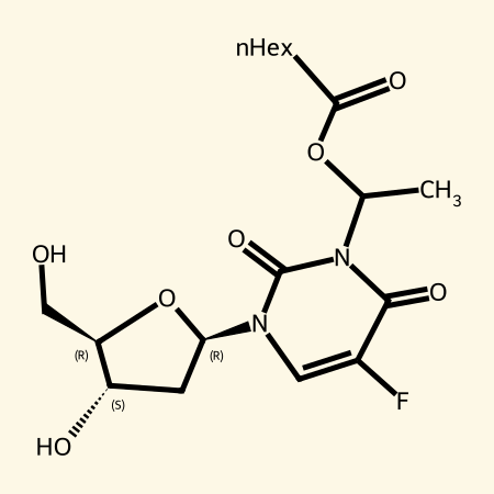 CCCCCCC(=O)OC(C)n1c(=O)c(F)cn([C@H]2C[C@H](O)[C@@H](CO)O2)c1=O